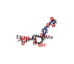 CC[C@H](O)[C@@H](C)[C@H]1O[C@@H]1C[C@@](C)(O)/C=C/C=C(\C)[C@H]1OC(=O)C[C@H](O)CC[C@@](C)(OC)[C@@H](OC(=O)N2CCN(CCOCCN3C(=O)C=CC3=O)CC2)/C=C/[C@@H]1C